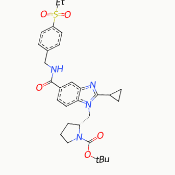 CCS(=O)(=O)c1ccc(CNC(=O)c2ccc3c(c2)nc(C2CC2)n3C[C@H]2CCCN2C(=O)OC(C)(C)C)cc1